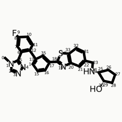 Cn1cnnc1-c1cc(F)ccc1-c1cccc(-c2nc3cc(CN[C@@H]4CCC[C@@H]4O)ccc3s2)c1